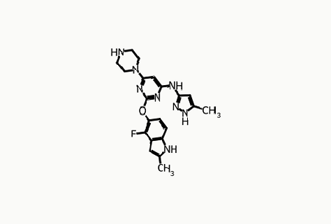 Cc1cc(Nc2cc(N3CCNCC3)nc(Oc3ccc4[nH]c(C)cc4c3F)n2)n[nH]1